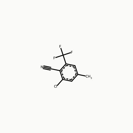 Cc1cc(Cl)c(C#N)c(C(F)(F)F)c1